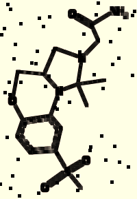 CC1(C)N(CC(N)=O)CC2COc3ccc(S(C)(=O)=O)cc3N21